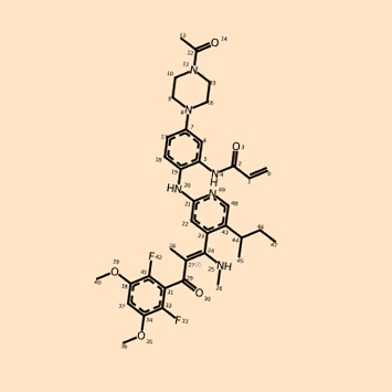 C=CC(=O)Nc1cc(N2CCN(C(C)=O)CC2)ccc1Nc1cc(/C(NC)=C(\C)C(=O)c2c(F)c(OC)cc(OC)c2F)c(C(C)CC)cn1